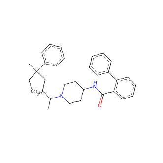 CC(CCC(C)(CC(=O)O)c1ccccc1)N1CCC(NC(=O)c2ccccc2-c2ccccc2)CC1